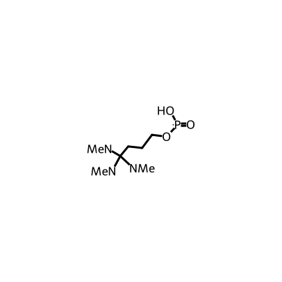 CNC(CCCO[P](=O)O)(NC)NC